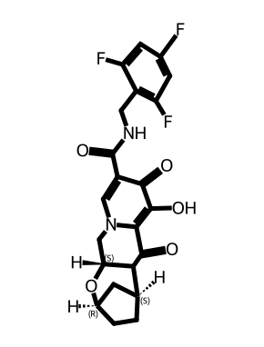 O=C(NCc1c(F)cc(F)cc1F)c1cn2c(c(O)c1=O)C(=O)C1[C@H]3CC[C@H](C3)O[C@@H]1C2